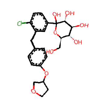 OC[C@H]1OC(O)(c2ccc(Cl)c(Cc3ccc(OC4CCOC4)cc3)c2)[C@H](O)[C@@H](O)[C@@H]1O